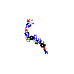 N#CCOc1ccc(-c2cnc3c(Nc4ccc(C(=O)N5CCN(COCN6CCN[C@@H](CO)C6)CC5)c(Cl)c4)nccn23)c(F)c1F